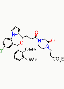 CCOC(=O)CCN1CCN(C(=O)CC[C@H]2O[C@H](c3cccc(OC)c3OC)c3cc(Cl)ccc3-n3cccc32)CC1=O